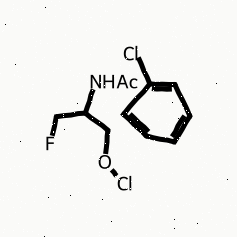 CC(=O)NC(CF)COCl.Clc1ccccc1